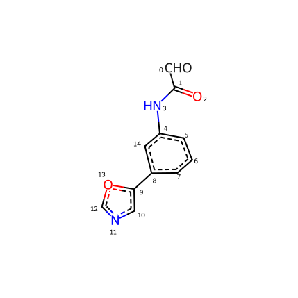 O=CC(=O)Nc1cccc(-c2cnco2)c1